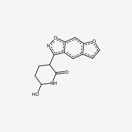 O=C1NC(O)CCC1c1noc2cc3occc3cc12